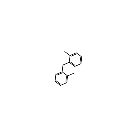 Cc1ccccc1[CH]c1ccccc1C